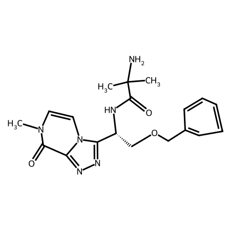 Cn1ccn2c([C@@H](COCc3ccccc3)NC(=O)C(C)(C)N)nnc2c1=O